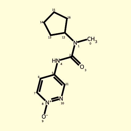 CN(C(=O)Nc1cc[n+]([O-])nc1)C1CCCC1